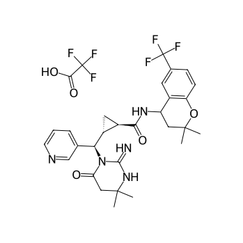 CC1(C)CC(=O)N([C@@H](c2cccnc2)[C@@H]2C[C@H]2C(=O)NC2CC(C)(C)Oc3ccc(C(F)(F)F)cc32)C(=N)N1.O=C(O)C(F)(F)F